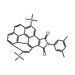 Cc1cc(C)cc(-n2c(=O)c3c4cc([Si](C)(C)C)c5ccc6ccc7c([Si](C)(C)C)cc(c3c2=O)c2c7c6c5c42)c1